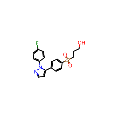 O=S(=O)(CCCO)c1ccc(-c2ccnn2-c2ccc(F)cc2)cc1